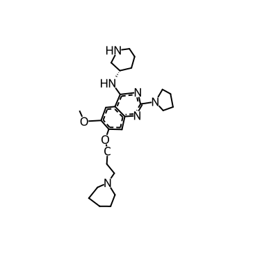 COc1cc2c(N[C@H]3CCCNC3)nc(N3CCCC3)nc2cc1OCCCN1CCCCC1